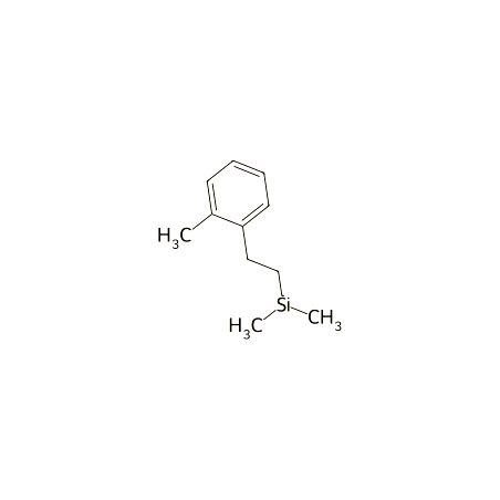 Cc1ccccc1CC[Si](C)C